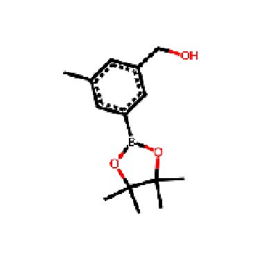 Cc1cc(CO)cc(B2OC(C)(C)C(C)(C)O2)c1